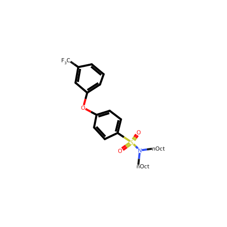 CCCCCCCCN(CCCCCCCC)S(=O)(=O)c1ccc(Oc2cccc(C(F)(F)F)c2)cc1